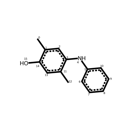 Cc1cc(Nc2ccccc2)c(C)cc1O